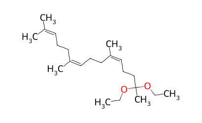 CCOC(C)(CCC=C(C)CCC=C(C)CCC=C(C)C)OCC